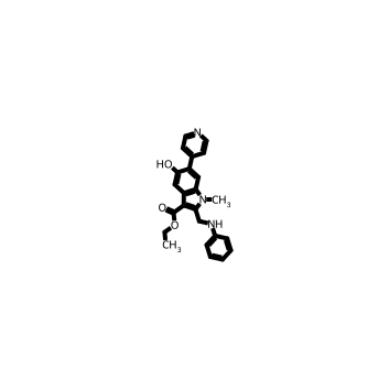 CCOC(=O)c1c(CNc2ccccc2)n(C)c2cc(-c3ccncc3)c(O)cc12